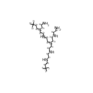 CC(C)(C)CCNCCNCCN(CCNCCN)CCNCCN(CCN)CCC(C)(C)C